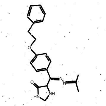 CC(C)=NN=C(c1ccc(OCCc2ccccc2)cc1)C1NCNC1=O